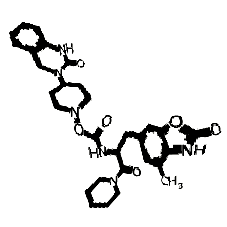 Cc1cc(CC(NC(=O)ON2CCC(N3Cc4ccccc4NC3=O)CC2)C(=O)N2CCCCC2)cc2oc(=O)[nH]c12